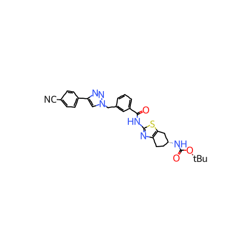 CC(C)(C)OC(=O)N[C@@H]1CCc2nc(NC(=O)c3cccc(Cn4cc(-c5ccc(C#N)cc5)nn4)c3)sc2C1